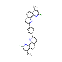 Cc1cc(F)nc2c1ccc1ccc(-c3ccc(-c4ccc5ccc6c(C)cc(F)nc6c5n4)cc3)nc12